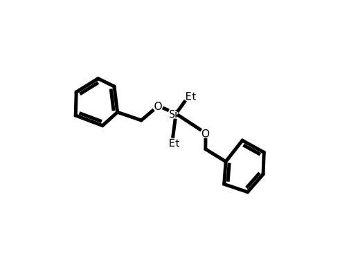 CC[Si](CC)(OCc1ccccc1)OCc1ccccc1